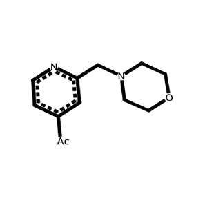 CC(=O)c1ccnc(CN2CCOCC2)c1